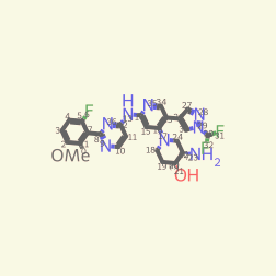 COc1cccc(F)c1-c1nccc(Nc2cc(N3CC[C@@H](O)[C@H](N)C3)c(-c3cnn(C(F)F)c3)cn2)n1